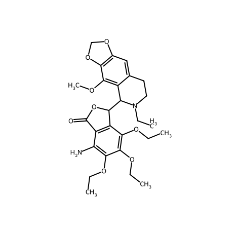 CCOc1c(N)c2c(c(OCC)c1OCC)C(C1c3c(cc4c(c3OC)OCO4)CCN1CC)OC2=O